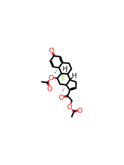 CC(=O)OCC(=O)C1=CC[C@H]2[C@@H]3CCC4=CC(=O)C=C[C@]4(C)[C@@]3(F)C(OC(C)=O)C[C@]12C